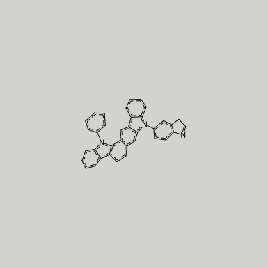 C1=Nc2ccc(-n3c4ccccc4c4cc5c(ccc6c7ccccc7n(-c7ccccc7)c56)cc43)cc2C1